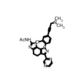 CC(=O)Nc1nc2c(s1)-c1c(c(-c3cnccn3)nn1-c1ccc(C#CCN(C)C)cc1Cl)CC2